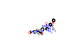 Cc1cc(-n2c(=O)[nH]c3c([C@H]4CCCN(C(=O)C(C#N)=CC(C)(C)N5CCN(C6COC6)CC5)C4)cnc(N)c32)ccc1Oc1ccccc1